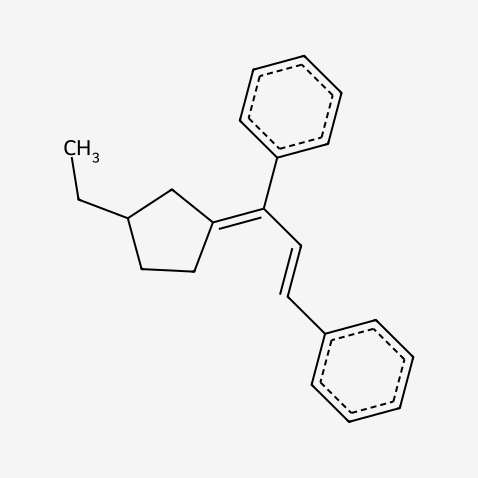 CCC1CCC(=C(C=Cc2ccccc2)c2ccccc2)C1